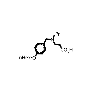 CCCCCCOc1ccc(CN(CCC(=O)O)C(C)C)cc1